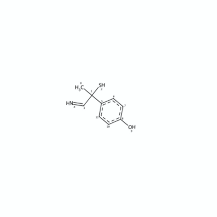 CC(S)(C=N)c1ccc(O)cc1